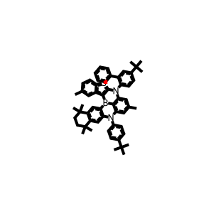 Cc1cc2c3c(c1)N(c1ccc(C(C)(C)C)cc1-c1ccccc1)c1sc4ccc(C)cc4c1B3c1cc3c(cc1N2c1ccc(C(C)(C)C)cc1)C(C)(C)CCC3(C)C